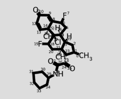 CC1C[C@H]2[C@@H]3CC(F)C4=CC(=O)C=C[C@]4(C)[C@@]3(Cl)C(F)C[C@]2(C)[C@H]1C(=O)C(=O)NC1CCCCC1